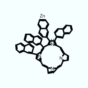 C1=Cc2cc3[nH]c(c(-c4ccc5ccccc5c4)c4nc(cc5ccc(cc1n2)[nH]5)C=C4c1ccc2ccccc2c1)c(-c1ccc2ccccc2c1)c3-c1ccc2ccccc2c1.[Zn]